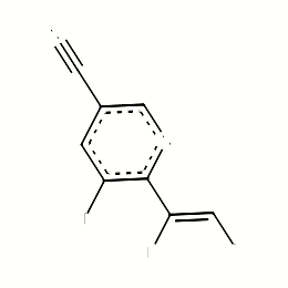 N#Cc1cnc(/C(F)=C/I)c(Cl)c1